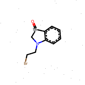 O=[Se]1CN(CCBr)c2ccccc21